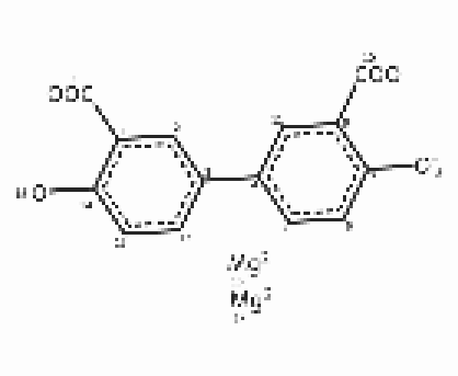 O=C([O-])c1cc(-c2ccc([O-])c(C(=O)[O-])c2)ccc1[O-].[Mg+2].[Mg+2]